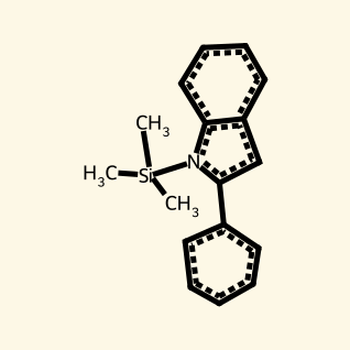 C[Si](C)(C)n1c(-c2ccccc2)cc2ccccc21